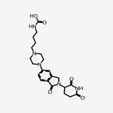 O=C(O)NCCCCN1CCN(c2ccc3c(c2)CN(C2CCC(=O)NC2=O)C3=O)CC1